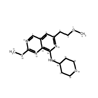 COCCc1cc2cnc(SC)nc2c(NC2CCOCC2)n1